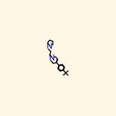 CC(C)(C)c1ccc(C2=CCN(CCCN3CCCC3)CC2)cc1